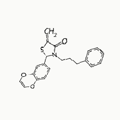 C=C1SC(c2ccc3c(c2)OC=CO3)N(CCCc2ccccc2)C1=O